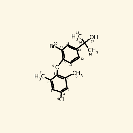 Cc1cc(Cl)cc(C)c1Oc1ccc(C(C)(C)O)cc1Br